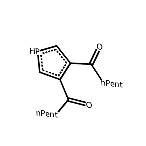 CCCCCC(=O)c1c[pH]cc1C(=O)CCCCC